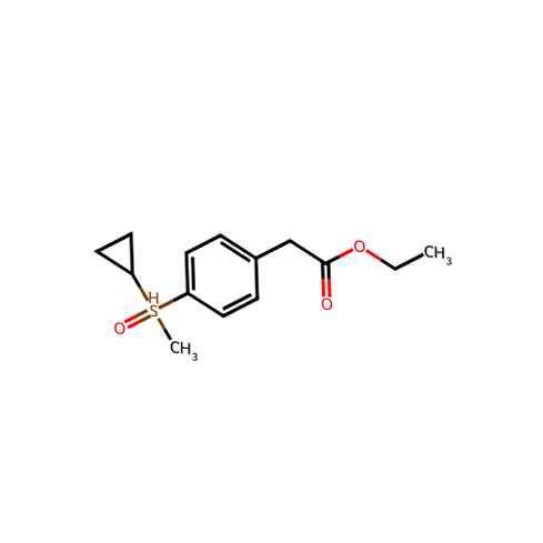 CCOC(=O)Cc1ccc([SH](C)(=O)C2CC2)cc1